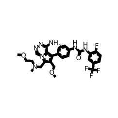 COCCN(C)Cc1c(COC)c(-c2ccc(NC(=O)Nc3cc(C(F)(F)F)ccc3F)cc2)c2c(N)nncn12